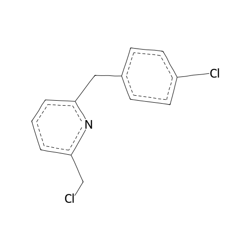 ClCc1cccc(Cc2ccc(Cl)cc2)n1